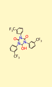 O=C1N(c2cccc(C(F)(F)F)c2)C(=O)N(c2cccc(C(F)(F)F)c2)C(O)N1c1cccc(C(F)(F)F)c1